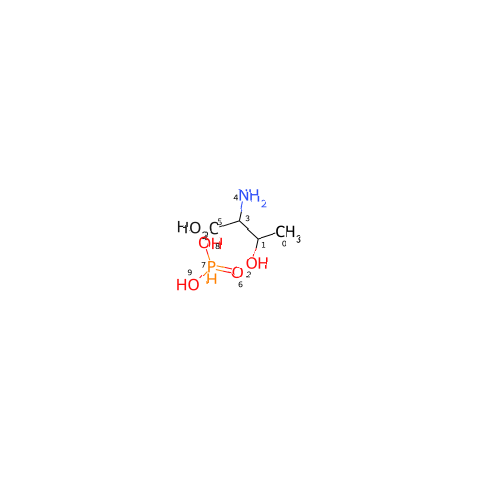 CC(O)C(N)C(=O)O.O=[PH](O)O